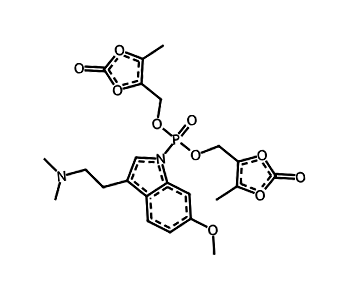 COc1ccc2c(CCN(C)C)cn(P(=O)(OCc3oc(=O)oc3C)OCc3oc(=O)oc3C)c2c1